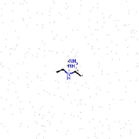 CCNCC.N.N